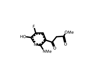 CNc1nc(O)c(F)cc1C(=O)CC(=O)OC